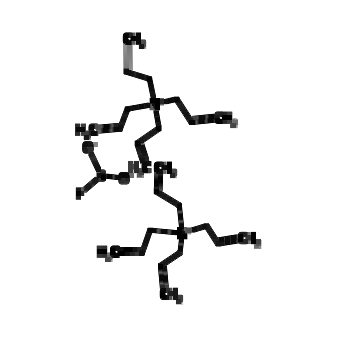 C=CC[N+](CC=C)(CC=C)CC=C.C=CC[N+](CC=C)(CC=C)CC=C.[O-]B([O-])F